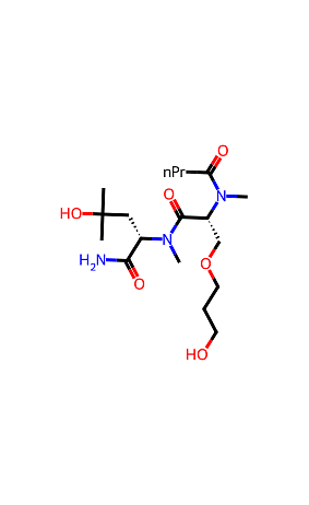 CCCC(=O)N(C)[C@H](COCCCO)C(=O)N(C)[C@@H](CC(C)(C)O)C(N)=O